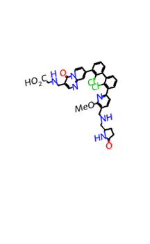 COc1nc(-c2cccc(-c3cccc(-c4ccn5c(=O)c(CNCC(=O)O)cnc5c4)c3Cl)c2Cl)ccc1CNC[C@H]1CCC(=O)N1